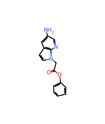 Nc1cnc2c(ccn2CC(=O)Oc2ccccc2)c1